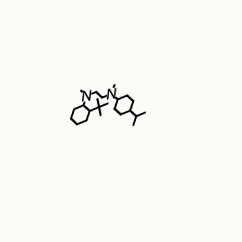 CC(C)C1CCC(N(C)CCN(C)C2CCCCC2C(C)(C)C)CC1